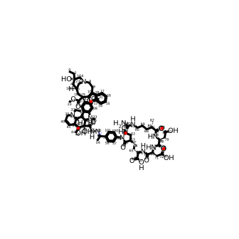 CC[C@]1(O)C[C@H]2CN(CCc3c([nH]c4ccccc34)[C@@](C(=O)OC)(c3cc4c(cc3OC)N(C)[C@@H]3[C@]45CCN4CC=C[C@@](CC)(C(O)[C@]3(O)C(=O)N/N=C(\C)c3ccc(N6C(=O)CC(SC[C@H](NC(=O)[C@H](CC(=O)O)NC(=O)[C@H](CC(=O)O)NC(=O)[C@@H](C)CCCNC(=N)N)C(=O)O)C6=O)cc3)[C@H]45)C2)C1